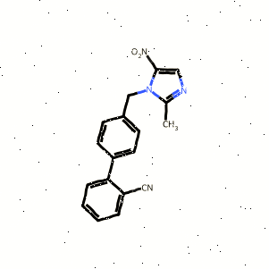 Cc1ncc([N+](=O)[O-])n1Cc1ccc(-c2ccccc2C#N)cc1